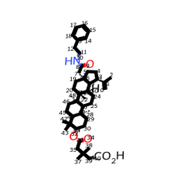 C=C(C)[C@@H]1CC[C@]2(CC(=O)NCCc3ccccc3)CC[C@]3(C)[C@H](CCC4[C@@]5(C)CC[C@H](OC(=O)CC(C)(C)CC(=O)O)C(C)(C)C5CC[C@]43C)C12